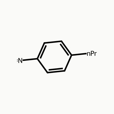 CCCc1ccc([N])cc1